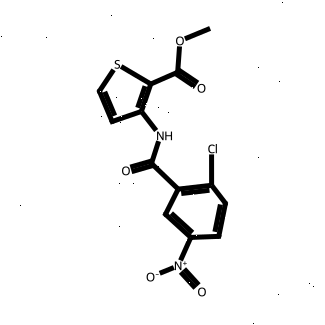 COC(=O)c1sccc1NC(=O)c1cc([N+](=O)[O-])ccc1Cl